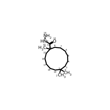 CC1(C)CCCCCCC(C)(C(=O)NN)CCCCC1